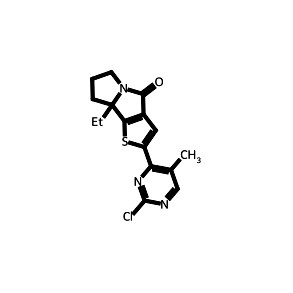 CCC12CCCN1C(=O)c1cc(-c3nc(Cl)ncc3C)sc12